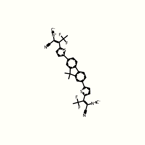 [C-]#[N+]/C(C#N)=C(\c1ccc(-c2ccc3c(c2)C(C)(C)c2cc(-c4ccc(/C(=C(\C#N)[N+]#[C-])C(C)(F)F)s4)ccc2-3)s1)C(C)(F)F